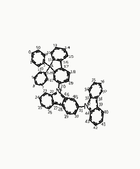 c1ccc(C2(c3ccccc3)c3ccccc3-c3ccc(-n4c5ccccc5c5ccc(-n6c7ccccc7c7ccccc76)cc54)cc32)cc1